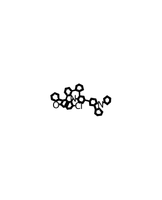 Clc1ccccc1N1c2ccc(-c3ccc4c(c3)c3ccccc3n4-c3ccccc3)cc2-c2ccccc2-c2cccc(-c3cccc4oc5ccccc5c34)c21